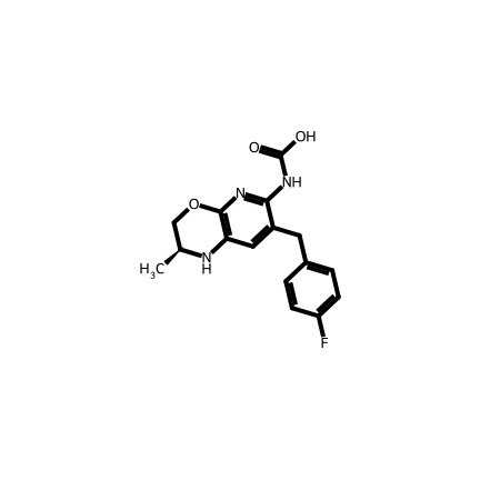 C[C@H]1COc2nc(NC(=O)O)c(Cc3ccc(F)cc3)cc2N1